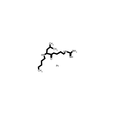 CCCCCNC(CC(C)C)C(=O)CCCCNC(=N)N.[Pt]